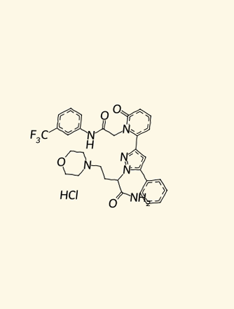 Cl.NC(=O)C(CCN1CCOCC1)n1nc(-c2cccc(=O)n2CC(=O)Nc2cccc(C(F)(F)F)c2)cc1-c1ccccc1